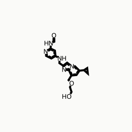 O=CNc1cc(NCc2cn3cc(C4CC4)cc(COCCO)c3n2)ccn1